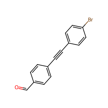 O=Cc1ccc(C#Cc2ccc(Br)cc2)cc1